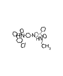 CCCNC(=O)C(c1ccccc1)C1CCN(c2ccc(NC(=O)c3ccccc3-c3ccc(Cl)cc3)cc2)CC1